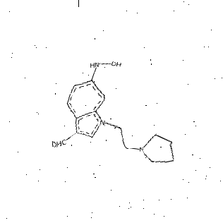 O=Cc1cn(CCN2CCCC2)c2cc(NO)ccc12